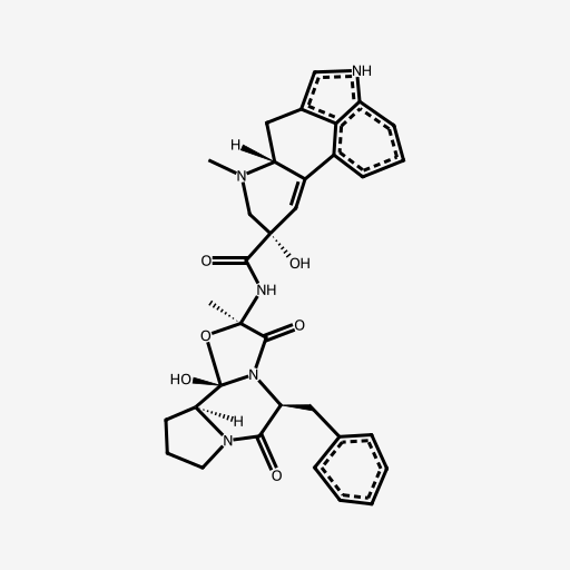 CN1C[C@](O)(C(=O)N[C@]2(C)O[C@@]3(O)[C@@H]4CCCN4C(=O)[C@H](Cc4ccccc4)N3C2=O)C=C2c3cccc4[nH]cc(c34)C[C@H]21